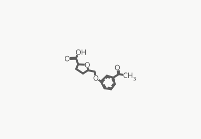 CC(=O)c1cccc(OCC2CCC(C(=O)O)O2)c1